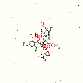 Cc1ccoc1C(=O)O[C@]1(C(=O)SCC(=O)c2c(CF)cc(CF)cc2CF)[C@H](C)C[C@H]2[C@@H]3C[C@H](F)C4=CC(=O)C=C[C@]4(C)[C@@]3(F)[C@@H](O)C[C@@]21C